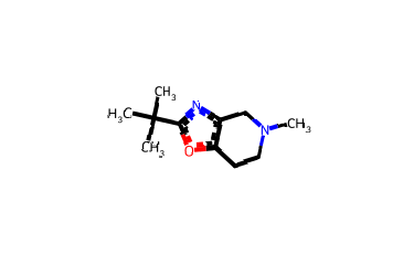 CN1CCc2oc(C(C)(C)C)nc2C1